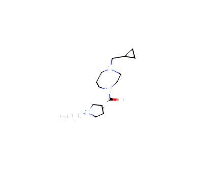 O=C(O)N1CC[C@H](C(=O)N2CCCN(CC3CC3)CC2)C1